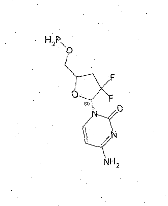 Nc1ccn([C@@H]2OC(COP)CC2(F)F)c(=O)n1